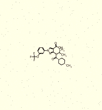 CC(C)N(c1nn(-c2cccc(OC(F)(F)F)c2)cc1C(=O)O)C(=O)[C@H]1CC[C@H](C)CC1